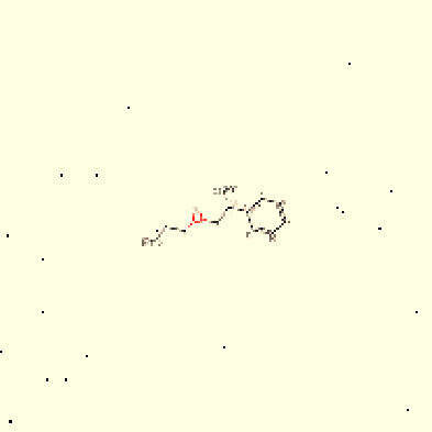 CC(C)CCOC[C@@H](c1ccccc1)C(C)C